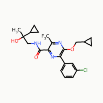 CC(O)(CNC(=O)c1nc(-c2cccc(Cl)c2)c(OCC2CC2)nc1C(F)(F)F)C1CC1